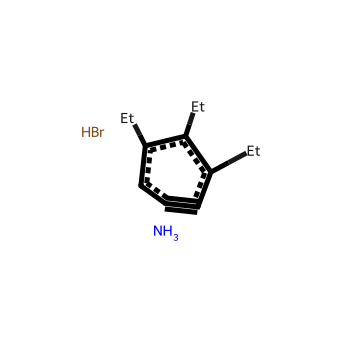 Br.CCc1c#ccc(CC)c1CC.N